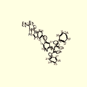 CCC(CC)NC(=O)n1ccc2cc(Oc3ccnc(N(C(=O)Oc4ccccc4)C(=O)Oc4ccccc4)c3)ccc21